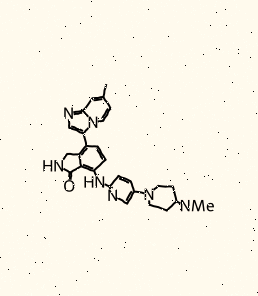 CNC1CCN(c2ccc(Nc3ccc(-c4cnc5cc(C)ccn45)c4c3C(=O)NC4)nc2)CC1